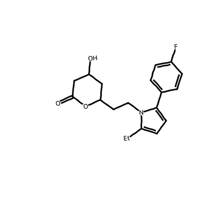 CCc1ccc(-c2ccc(F)cc2)n1CCC1CC(O)CC(=O)O1